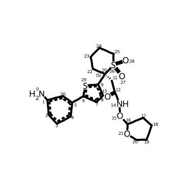 Nc1cccc(-c2ccc([C@@]3(CC(=O)NOC4CCCCO4)CCCCS3(=O)=O)s2)c1